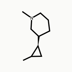 CC1C[C@@H]1C1CCCN(C)C1